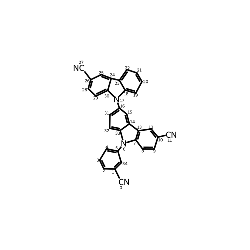 N#Cc1cccc(-n2c3ccc(C#N)cc3c3cc(-n4c5ccccc5c5cc(C#N)ccc54)ccc32)c1